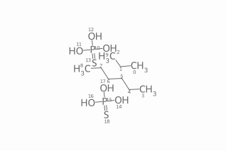 CCC.CCCCCC.OP(O)(O)=S.OP(O)(O)=S